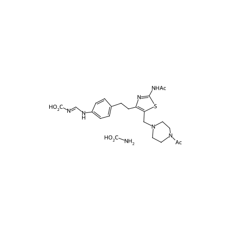 CC(=O)Nc1nc(CCc2ccc(NC=NC(=O)O)cc2)c(CN2CCN(C(C)=O)CC2)s1.NC(=O)O